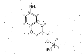 CC(C)(C)[Si](C)(C)OCC1COc2ccc(N)cc2O1